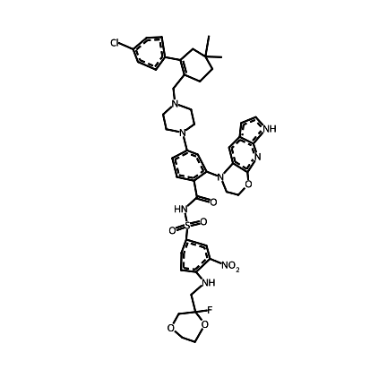 CC1(C)CCC(CN2CCN(c3ccc(C(=O)NS(=O)(=O)c4ccc(NCC5(F)COCCO5)c([N+](=O)[O-])c4)c(N4CCOc5nc6[nH]ccc6cc54)c3)CC2)=C(c2ccc(Cl)cc2)C1